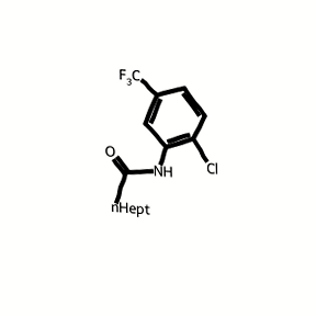 CCCCCCCC(=O)Nc1cc(C(F)(F)F)ccc1Cl